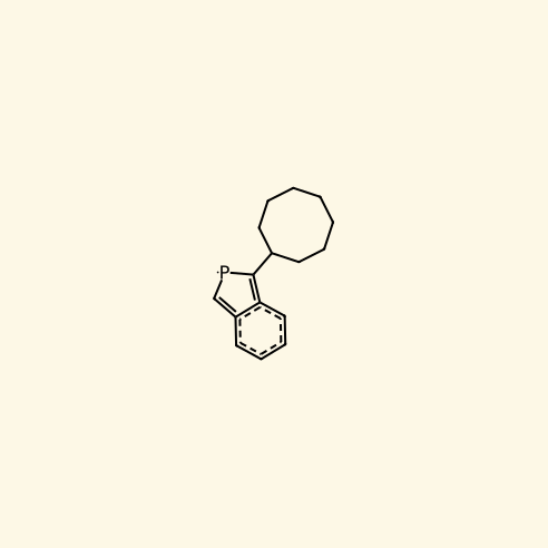 C1=c2ccccc2=C(C2CCCCCCC2)[P]1